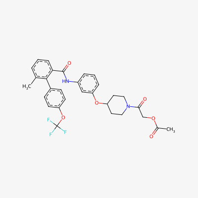 CC(=O)OCC(=O)N1CCC(Oc2cccc(NC(=O)c3cccc(C)c3-c3ccc(OC(F)(F)F)cc3)c2)CC1